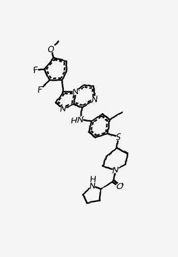 COc1ccc(-c2cnc3c(Nc4ccc(SC5CCN(C(=O)C6CCCN6)CC5)c(C)c4)nccn23)c(F)c1F